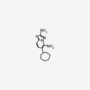 Nc1nc2ccc(C3CCCCCC3)c(N)n2n1